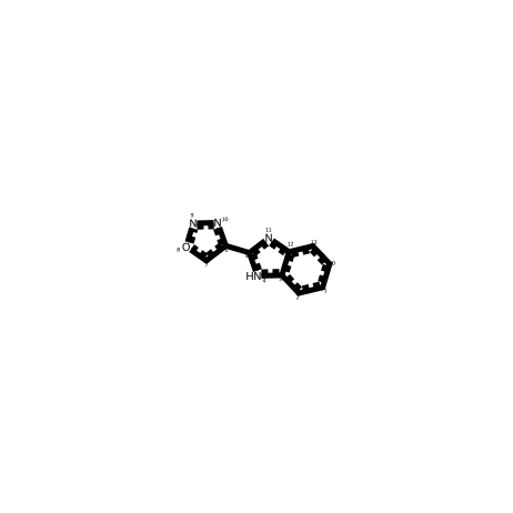 c1ccc2[nH]c(-c3conn3)nc2c1